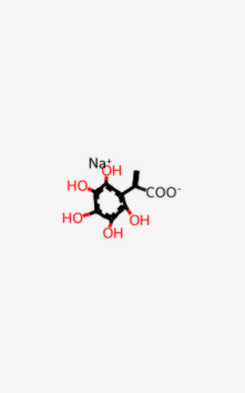 C=C(C(=O)[O-])c1c(O)c(O)c(O)c(O)c1O.[Na+]